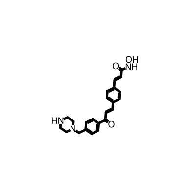 O=C(C=Cc1ccc(/C=C/C(=O)c2ccc(CN3CCNCC3)cc2)cc1)NO